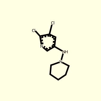 Clc1cc(NN2CCCCC2)cnc1Cl